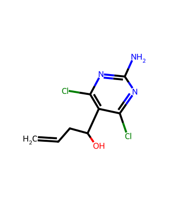 C=CCC(O)c1c(Cl)nc(N)nc1Cl